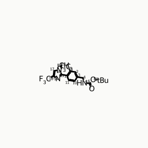 Cc1cc(CNC(=O)OC(C)(C)C)ccc1-c1nc(C(F)(F)F)cn1C